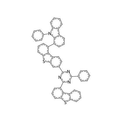 c1ccc(-c2nc(-c3ccc4c(c3)sc3cccc(-c5cccc6c7ccccc7n(-c7ccccc7)c56)c34)nc(-c3cccc4sc5ccccc5c34)n2)cc1